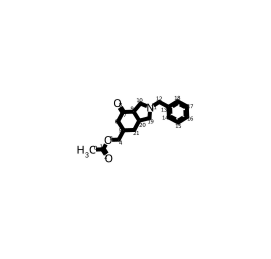 CC(=O)OCC1CC(=O)C2CN(Cc3ccccc3)CC2C1